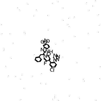 CS(=O)(=O)c1ccc2[nH]c(C(Cc3ccccc3)n3cc(F)c(-c4cc(Cl)ccc4-n4cnnn4)cc3=O)nc2c1